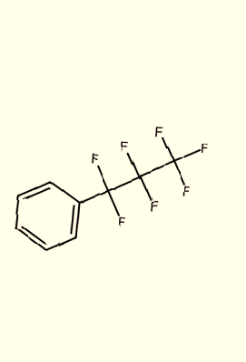 FC(F)(F)C(F)(F)C(F)(F)c1ccccc1